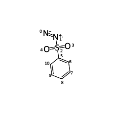 [N-]=[N+]S(=O)(=O)c1ccccc1